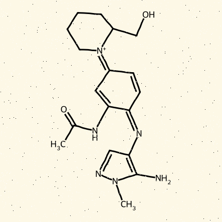 CC(=O)NC1=CC(=[N+]2\CCCCC2CO)/C=CC/1=N/c1cnn(C)c1N